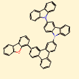 C1=CC2Oc3c(-c4ccc5c6ccccc6c6ccc(-n7c8ccccc8c8cc(-n9c%10ccccc%10c%10ccccc%109)ccc87)cc6c5c4)cccc3C2C=C1